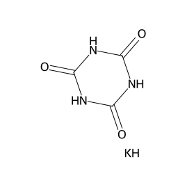 O=c1[nH]c(=O)[nH]c(=O)[nH]1.[KH]